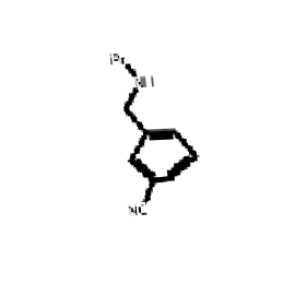 CC(C)NCc1cccc(C#N)c1